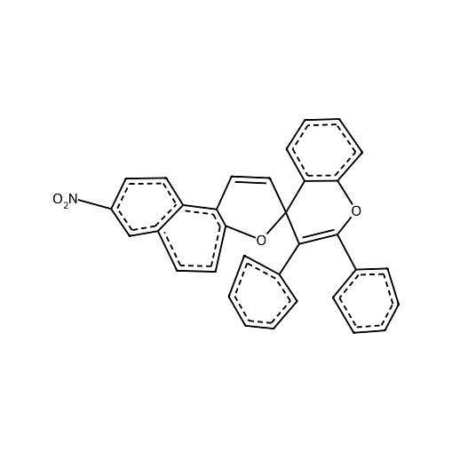 O=[N+]([O-])c1ccc2c3c(ccc2c1)OC1(C=C3)C(c2ccccc2)=C(c2ccccc2)Oc2ccccc21